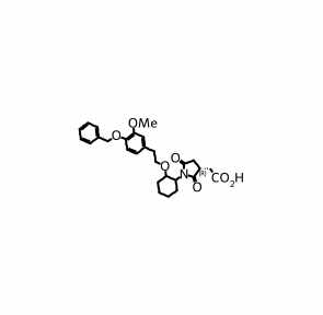 COc1cc(CCOC2CCCCC2N2C(=O)C[C@H](CC(=O)O)C2=O)ccc1OCc1ccccc1